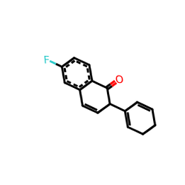 O=C1c2ccc(F)cc2C=CC1C1=CCCC=C1